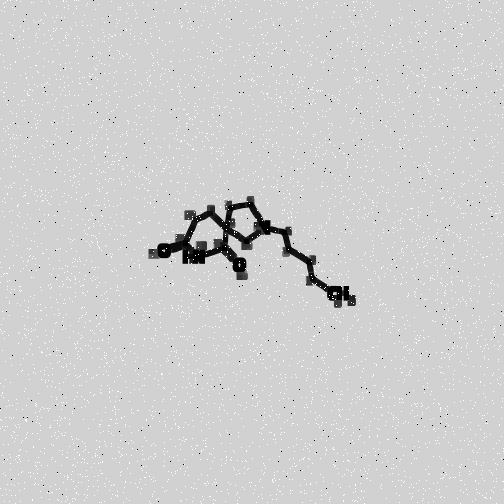 CCCCCN1CCC2(CCC(=O)NC2=O)C1